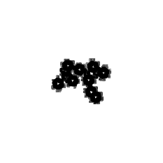 c1ccc(-n2c3ccccc3c3c4c(-c5ccc(N(c6ccc(-c7ccc8ccccc8c7)cc6)c6cccc7c6sc6ccccc67)cc5)cccc4sc32)cc1